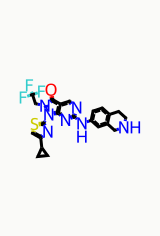 O=c1c2cnc(Nc3ccc4c(c3)CNCC4)nc2n(-c2nc(C3CC3)cs2)n1CC(F)(F)F